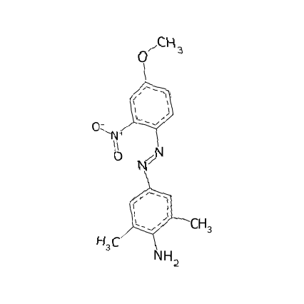 COc1ccc(N=Nc2cc(C)c(N)c(C)c2)c([N+](=O)[O-])c1